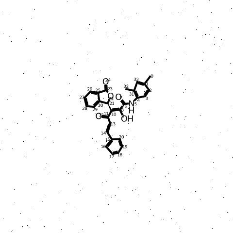 Cc1ccc(NC(=O)/C(O)=C(/C(=O)/C=C/c2ccccc2)[C@@H]2OC(=O)c3ccccc32)c(C)c1